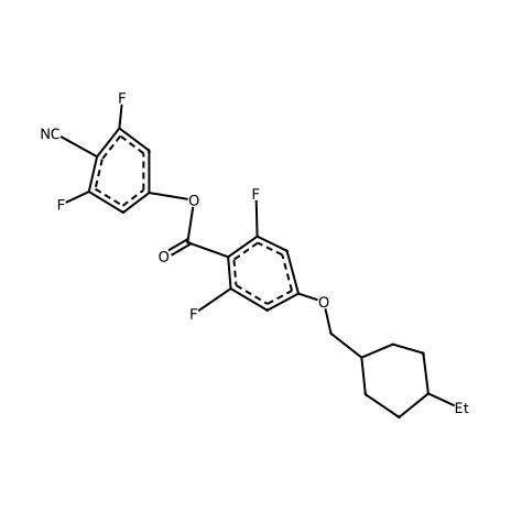 CCC1CCC(COc2cc(F)c(C(=O)Oc3cc(F)c(C#N)c(F)c3)c(F)c2)CC1